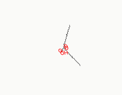 CCCCCCCCC=CCCCCCCCC(=O)CC(CCC(=O)O)C(=O)CCCCCCCC=CCCCCCCCC